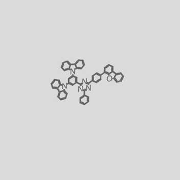 c1ccc(-c2nc(-c3ccc(-c4cccc5c4oc4ccccc45)cc3)nc(-c3cc(-n4c5ccccc5c5ccccc54)cc(-n4c5ccccc5c5ccccc54)c3)n2)cc1